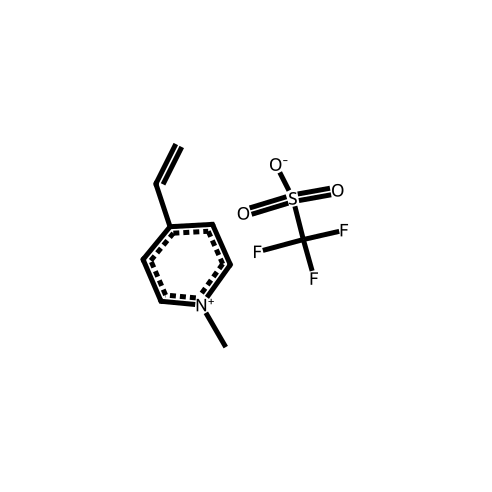 C=Cc1cc[n+](C)cc1.O=S(=O)([O-])C(F)(F)F